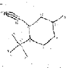 CC1CCC(C(C)(C)C)C(C#N)C1